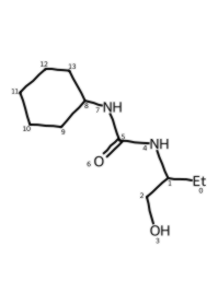 CCC(CO)NC(=O)NC1CCCCC1